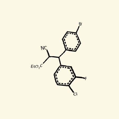 CCOC(=O)C(C#N)C(c1ccc(Br)cc1)c1ccc(Cl)c(F)c1